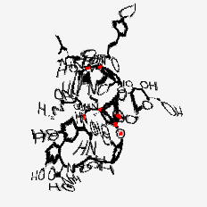 CN[C@H](CC(C)C)C(=O)N[C@H]1C(=O)N[C@@H](CC(N)=O)C(=O)NC2C(=O)N[C@@H]3C(=O)N[C@@H](C(=O)N[C@@H](C(=O)NO)c4cc(O)cc(O)c4-c4cc3ccc4O)[C@@H](O)c3ccc(c(Cl)c3)Oc3cc2cc(c3O[C@H]2O[C@@H](CO)[C@@H](O)[C@H](O)[C@H]2O[C@H]2C[C@](C)(NCCn3ccc(NC(=O)/C=C/c4ccc(Cl)cc4)nc3=O)[C@@H](O)[C@@H](C)O2)Oc2ccc(cc2Cl)[C@H]1O